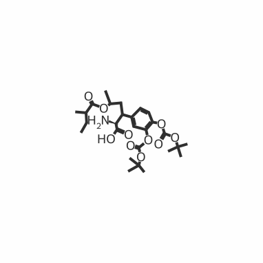 CCC(C)C(=O)OC(C)CC(c1ccc(OC(=O)OC(C)(C)C)c(OC(=O)OC(C)(C)C)c1)[C@H](N)C(=O)O